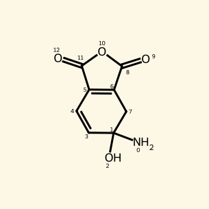 NC1(O)C=CC2=C(C1)C(=O)OC2=O